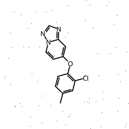 Cc1ccc(Oc2ccn3ncnc3c2)c(Cl)c1